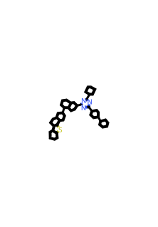 c1ccc(-c2ccc(-c3nc(-c4ccccc4)nc(-c4ccc5c(-c6ccc7c(ccc8c9ccccc9sc78)c6)cccc5c4)n3)cc2)cc1